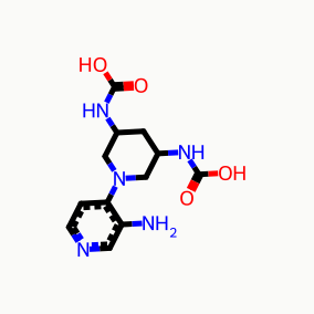 Nc1cnccc1N1CC(NC(=O)O)CC(NC(=O)O)C1